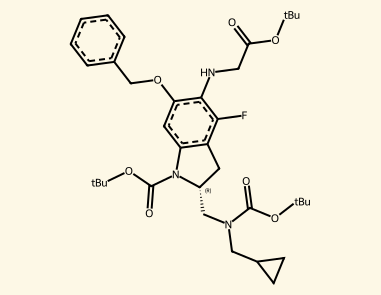 CC(C)(C)OC(=O)CNc1c(OCc2ccccc2)cc2c(c1F)C[C@H](CN(CC1CC1)C(=O)OC(C)(C)C)N2C(=O)OC(C)(C)C